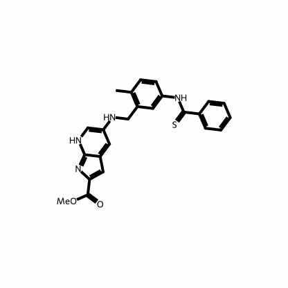 COC(=O)c1cc2cc(NCc3cc(NC(=S)c4ccccc4)ccc3C)c[nH]c-2n1